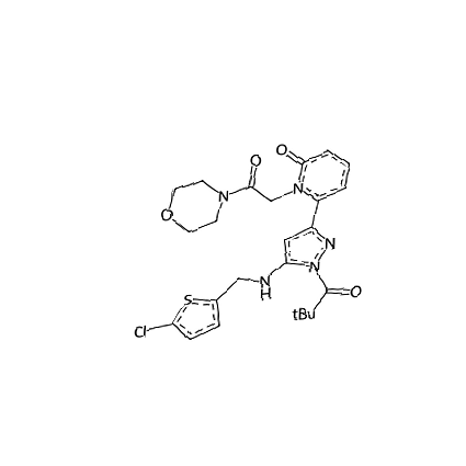 CC(C)(C)C(=O)n1nc(-c2cccc(=O)n2CC(=O)N2CCOCC2)cc1NCc1ccc(Cl)s1